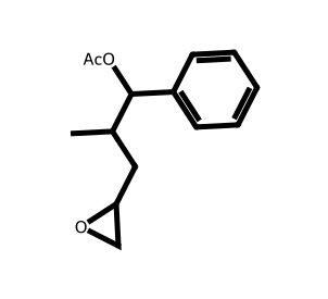 CC(=O)OC(c1ccccc1)C(C)CC1CO1